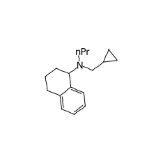 CCCN(CC1CC1)C1CCCc2ccccc21